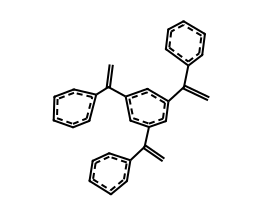 C=C(c1ccccc1)c1cc(C(=C)c2ccccc2)cc(C(=C)c2ccccc2)c1